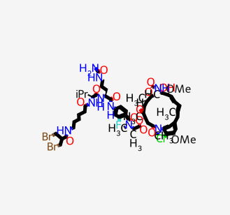 COc1cc2cc(c1Cl)N(C)C(=O)C[C@H](OC(=O)[C@H](C)N(C)C(=O)c1ccc(NC(=O)[C@H](CCCNC(N)=O)NC(=O)[C@@H](NC(=O)CCCCCNC(=O)C(CBr)CBr)C(C)C)cc1F)[C@]1(C)O[C@H]1[C@H](C)[C@@H]1C[C@@](O)(NC(=O)O1)[C@H](OC)/C=C/C=C(\C)C2